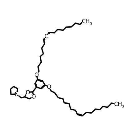 CCCCCCCCC=C=CCCCCCCCOc1cc(OCCCCCCCC/C=C\CCCCCCCC)cc(C2OCC(CN3CCCC3)O2)c1